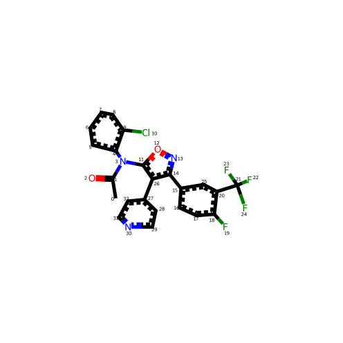 CC(=O)N(c1ccccc1Cl)c1onc(-c2ccc(F)c(C(F)(F)F)c2)c1-c1ccncc1